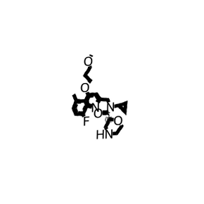 COCCCOc1cc(CN(C(=O)[C@H]2CNCCO2)C2CC2)nc2c(F)ccc(C)c12